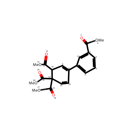 COC(=O)c1cccc(C2=CC(C(=O)OC)C(C(=O)OC)(C(=O)OC)C=C2)c1